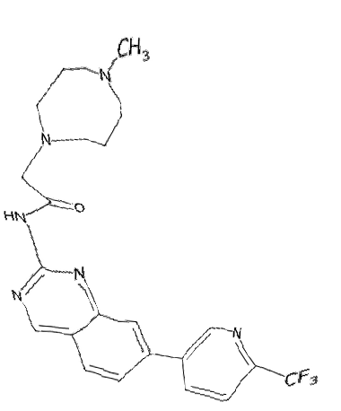 CN1CCN(CC(=O)Nc2ncc3ccc(-c4ccc(C(F)(F)F)nc4)cc3n2)CC1